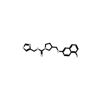 O=C(OCc1cscn1)N1CCC(COc2ccc3c(F)cccc3c2)C1